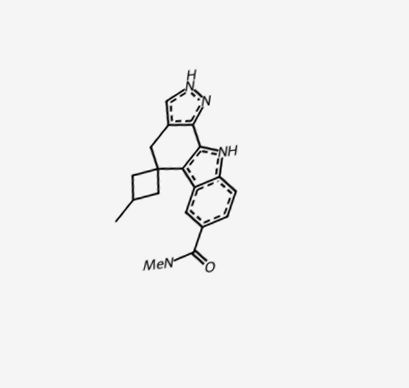 CNC(=O)c1ccc2[nH]c3c(c2c1)C1(Cc2c[nH]nc2-3)CC(C)C1